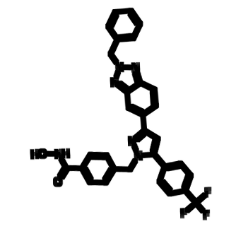 O=C(NO)c1ccc(Cn2nc(-c3ccc4nn(Cc5ccccc5)nc4c3)cc2-c2ccc(C(F)(F)F)cc2)cc1